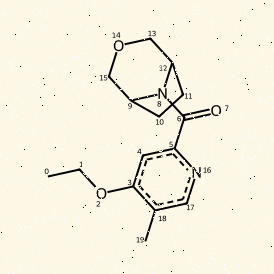 CCOc1cc(C(=O)N2C3CCC2COC3)ncc1C